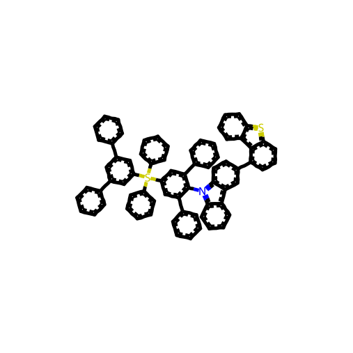 c1ccc(-c2cc(-c3ccccc3)cc(S(c3ccccc3)(c3ccccc3)c3cc(-c4ccccc4)c(-n4c5ccccc5c5cc(-c6cccc7sc8ccccc8c67)ccc54)c(-c4ccccc4)c3)c2)cc1